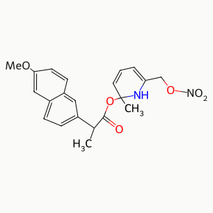 COc1ccc2cc(C(C)C(=O)OC3(C)C=CC=C(CO[N+](=O)[O-])N3)ccc2c1